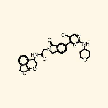 O=C(CN1Cc2ccc(-c3nc(NC4CCOCC4)ncc3Cl)cc2C1=O)NC(CO)c1cccc2c1COC2